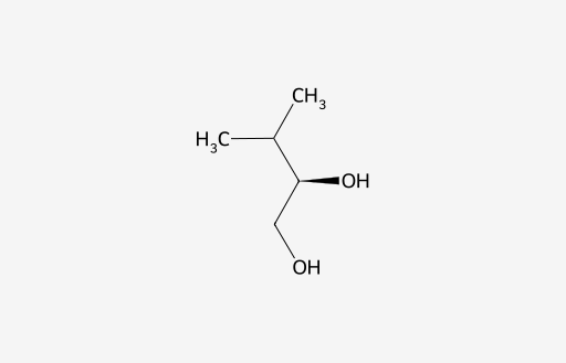 CC(C)[C@@H](O)CO